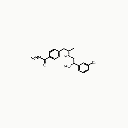 CC(=O)NC(=O)c1ccc(CC(C)NC[C@H](O)c2cccc(Cl)c2)cc1